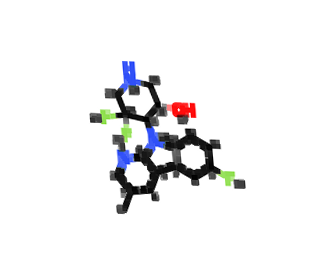 Cc1cnc2c(c1)c1cc(F)ccc1n2[C@@H]1[C@@H](O)CNCC1(F)F